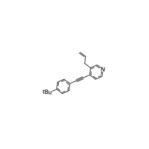 C=CCc1cnccc1C#Cc1ccc(C(C)(C)C)cc1